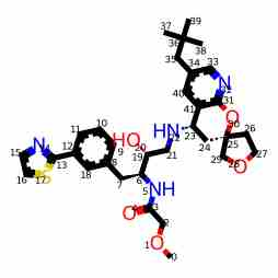 COCC(=O)N[C@@H](Cc1cccc(-c2nccs2)c1)[C@H](O)CN[C@H]1C[C@@]2(CCOC2)Oc2ncc(CC(C)(C)C)cc21